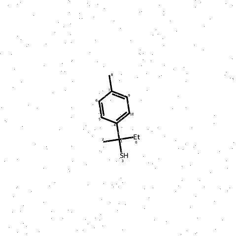 CCC(C)(S)c1ccc(C)cc1